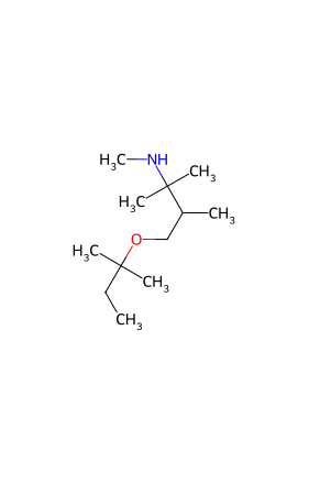 CCC(C)(C)OCC(C)C(C)(C)NC